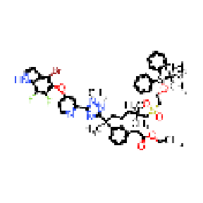 CCOC(=O)Cc1cccc([C@@](C)(CCCC(C)(C)CS(=O)(=O)CCO[Si](c2ccccc2)(c2ccccc2)C(C)(C)C)c2nc(-c3cc(Oc4c(F)c(F)c5[nH]ccc5c4Br)ccn3)n(C)n2)c1